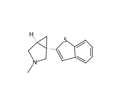 CN1C[C@H]2C[C@@]2(c2cc3ccccc3s2)C1